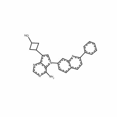 Nc1ncnc2c(C3CC(O)C3)cn(-c3ccc4ccc(-c5ccccc5)nc4c3)c12